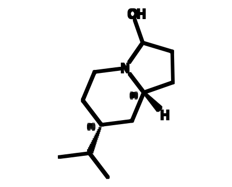 CC(C)[C@@H]1CCN2C(O)CC[C@@H]2C1